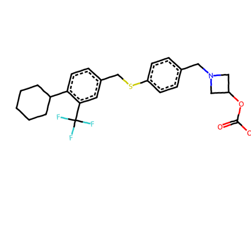 O=C(O)OC1CN(Cc2ccc(SCc3ccc(C4CCCCC4)c(C(F)(F)F)c3)cc2)C1